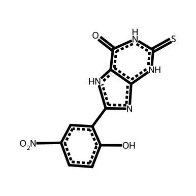 O=c1[nH]c(=S)[nH]c2nc(-c3cc([N+](=O)[O-])ccc3O)[nH]c12